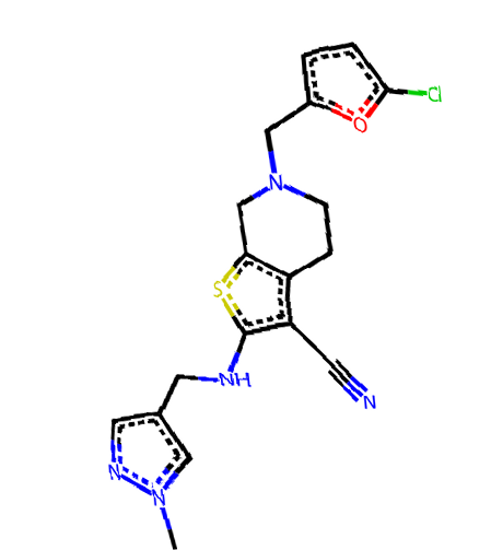 Cn1cc(CNc2sc3c(c2C#N)CCN(Cc2ccc(Cl)o2)C3)cn1